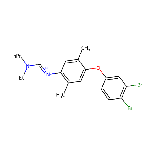 CCCN(/C=N/c1cc(C)c(Oc2ccc(Br)c(Br)c2)cc1C)CC